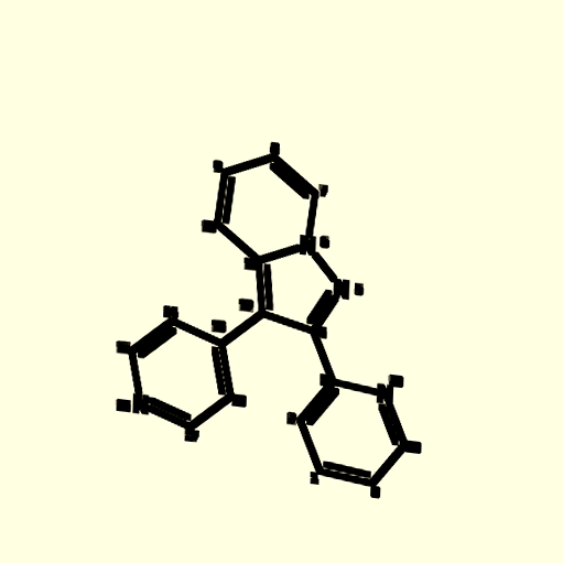 c1ccc(-c2nn3ccccc3c2-c2ccncc2)nc1